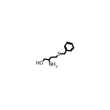 NC(CO)CCSCc1ccccc1